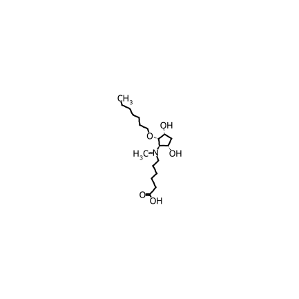 CCCCCCCO[C@H]1[C@H](N(C)CCCCCC(=O)O)[C@@H](O)C[C@H]1O